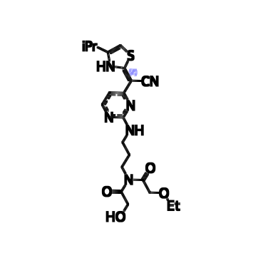 CCOCC(=O)N(CCCNc1nccc(/C(C#N)=C2\NC(C(C)C)=CS2)n1)C(=O)CO